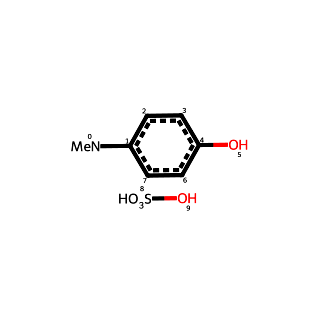 CNc1ccc(O)cc1.O=S(=O)(O)O